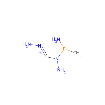 CP(N)N(N)/C=N/N